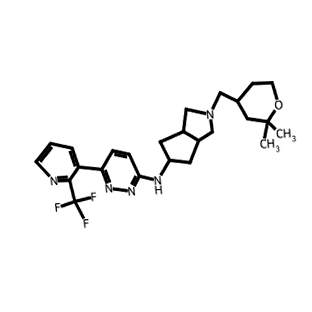 CC1(C)CC(CN2CC3CC(Nc4ccc(-c5cccnc5C(F)(F)F)nn4)CC3C2)CCO1